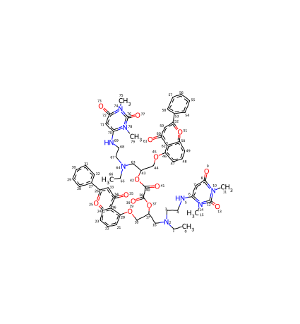 CCN(CCNc1cc(=O)n(C)c(=O)n1C)CC(COc1cccc2oc(-c3ccccc3)cc(=O)c12)OC(=O)C(=O)OC(COc1cccc2oc(-c3ccccc3)cc(=O)c12)CN(CC)CCNc1cc(=O)n(C)c(=O)n1C